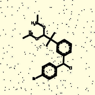 C[SiH2]OC(O[SiH2]C)C(C)(C)c1cccc(C(Cl)c2ccc(Br)cc2)c1